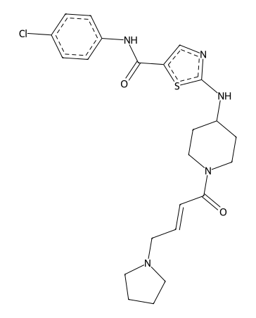 O=C(Nc1ccc(Cl)cc1)c1cnc(NC2CCN(C(=O)/C=C/CN3CCCC3)CC2)s1